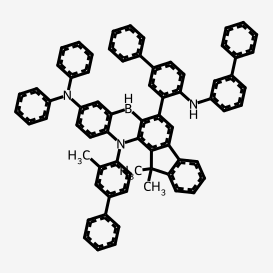 Cc1cc(-c2ccccc2)ccc1N1c2ccc(N(c3ccccc3)c3ccccc3)cc2Bc2c(-c3cc(-c4ccccc4)ccc3Nc3cccc(-c4ccccc4)c3)cc3c(c21)C(C)(C)c1ccccc1-3